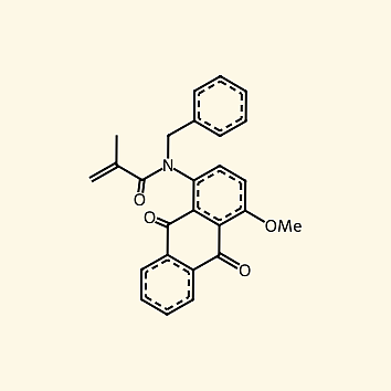 C=C(C)C(=O)N(Cc1ccccc1)c1ccc(OC)c2c1C(=O)c1ccccc1C2=O